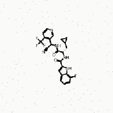 N#CC(NC(=O)[C@H](CC1CC1)NC(=O)c1cc2cccc(F)c2[nH]1)c1cnccc1C(F)(F)F